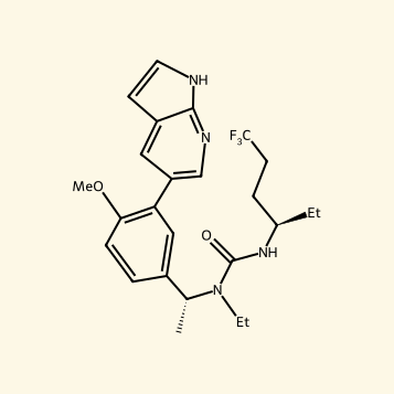 CC[C@H](CCC(F)(F)F)NC(=O)N(CC)[C@H](C)c1ccc(OC)c(-c2cnc3[nH]ccc3c2)c1